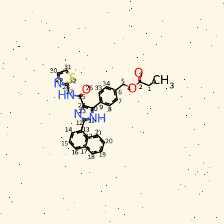 CCC(=O)OCc1ccc(-c2[nH]c(-c3cccc4ccccc34)nc2C(=O)Nc2nccs2)cc1